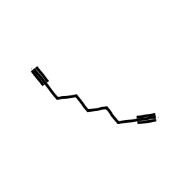 [C]#CCCCCCC#[C]